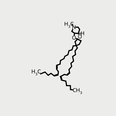 CCCCC/C=C\C/C=C\CCCCCCCCC1(CCCCCCCC/C=C\C/C=C\CCCCC)CCC2(C1)OC1CN(C)CC[C@@H]1O2